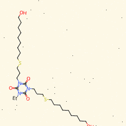 CCn1c(=O)n(CCCSCCCCCCCCCO)c(=O)n(CCCSCCCCCCCCCO)c1=O